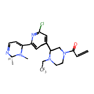 C=CC(=O)N1CCN(CC(F)(F)F)C(c2cc(Cl)nc(C3=CC=N[C@@H](C)N3C)c2)C1